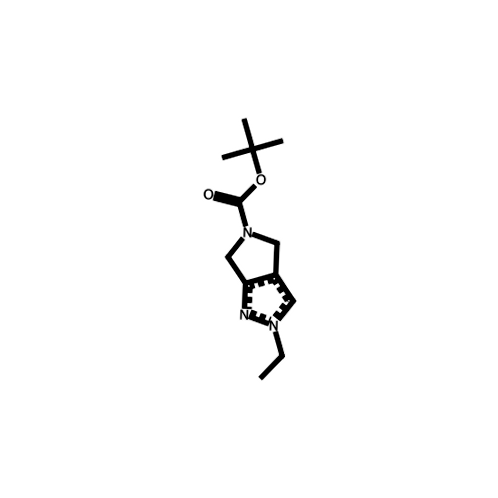 CCn1cc2c(n1)CN(C(=O)OC(C)(C)C)C2